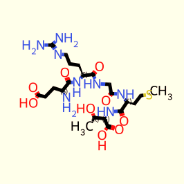 CSCC[C@H](NC(=O)CNC(=O)[C@H](CCCN=C(N)N)NC(=O)[C@@H](N)CCC(=O)O)C(=O)N[C@H](C(=O)O)[C@@H](C)O